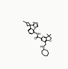 CC1CC(c2cccc(NC(=O)c3cc(CNC4CCCCCC4)c4c(n3)C(C)(C)CO4)c2)(c2nncn2C)C1